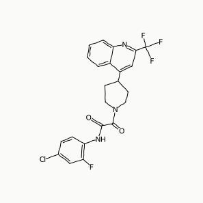 O=C(Nc1ccc(Cl)cc1F)C(=O)N1CCC(c2cc(C(F)(F)F)nc3ccccc23)CC1